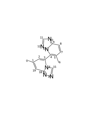 Cc1cc(-c2c(C)ccc3ncnn23)n2cnnc2c1